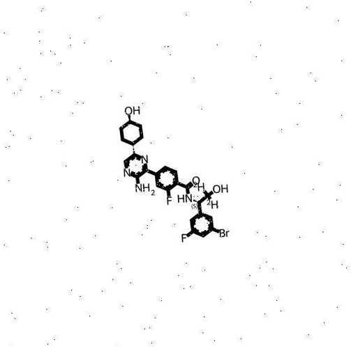 [2H]C([2H])(O)[C@@H](NC(=O)c1ccc(-c2nc([C@H]3CC[C@H](O)CC3)cnc2N)cc1F)c1cc(F)cc(Br)c1